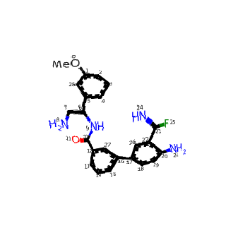 COc1cccc(C(CN)NC(=O)c2cccc(-c3ccc(N)c(C(=N)F)c3)c2)c1